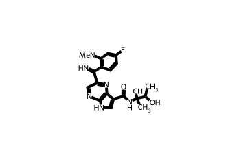 CNc1cc(F)ccc1C(=N)c1cnc2[nH]cc(C(=O)NC(C)(C)C(C)O)c2n1